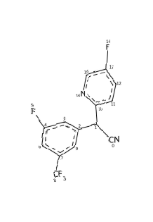 N#CC(c1cc(F)cc(C(F)(F)F)c1)c1ccc(F)cn1